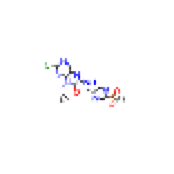 CCS(=O)(=O)c1cnc(CNc2nc3cnc(Cl)nc3n([C@@H](C)C3CC3)c2=O)cn1